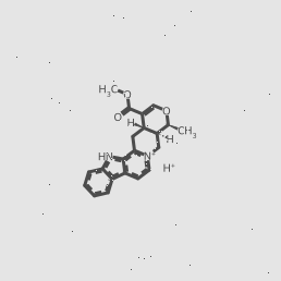 COC(=O)C1=CO[C@@H](C)[C@H]2C[n+]3ccc4c([nH]c5ccccc54)c3C[C@H]12.[H+]